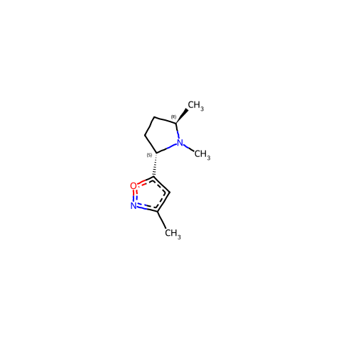 Cc1cc([C@@H]2CC[C@@H](C)N2C)on1